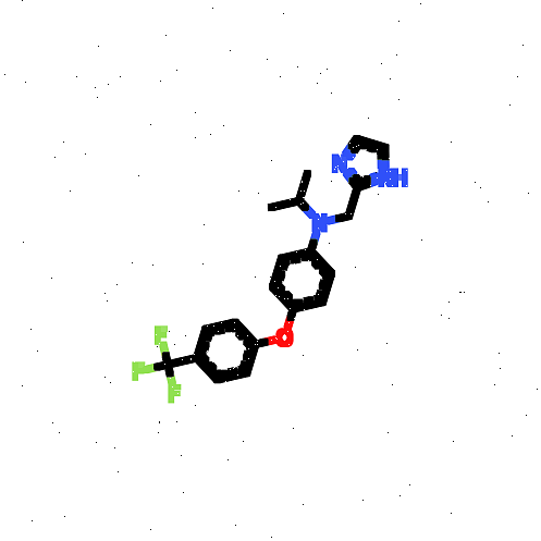 CC(C)N(Cc1ncc[nH]1)c1ccc(Oc2ccc(C(F)(F)F)cc2)cc1